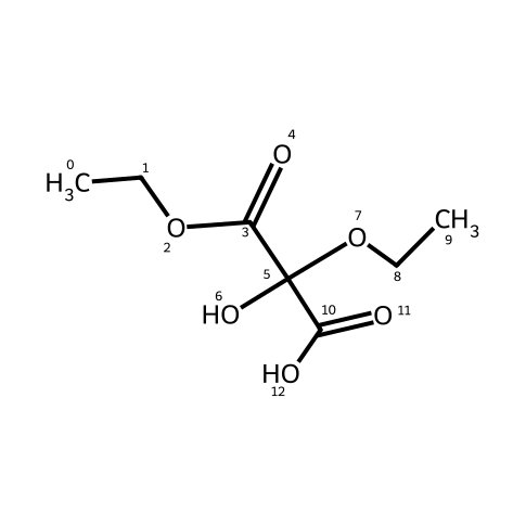 CCOC(=O)C(O)(OCC)C(=O)O